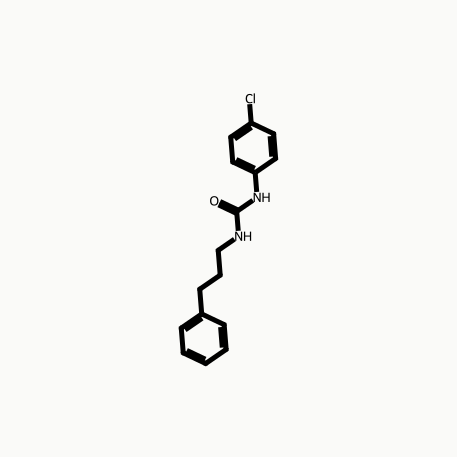 O=C(NCCCc1ccccc1)Nc1ccc(Cl)cc1